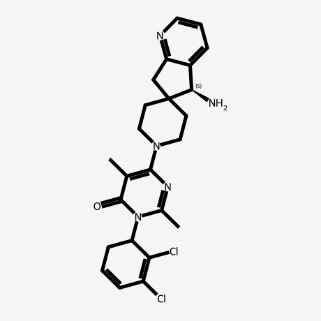 Cc1c(N2CCC3(CC2)Cc2ncccc2[C@H]3N)nc(C)n(C2CC=CC(Cl)=C2Cl)c1=O